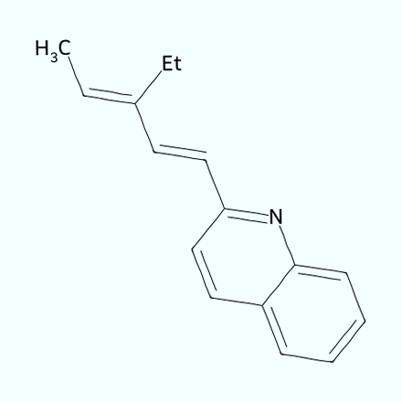 C/C=C(/C=C/c1ccc2ccccc2n1)CC